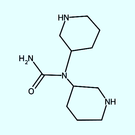 NC(=O)N(C1CCCNC1)C1CCCNC1